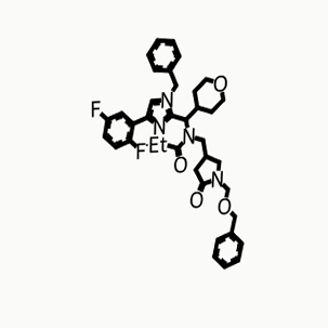 C[CH]C(=O)N(CC1CC(=O)N(COCc2ccccc2)C1)C(c1nc(-c2cc(F)ccc2F)cn1Cc1ccccc1)C1CCOCC1